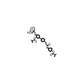 C=C(C)C(=O)Oc1ccc(OC(=O)CCc2ccc(-c3ccc(OCC(CC)(CO)CO)c(OC(=O)C(=C)C)c3)cc2)cc1